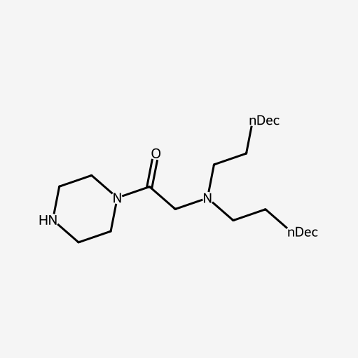 CCCCCCCCCCCCN(CCCCCCCCCCCC)CC(=O)N1CCNCC1